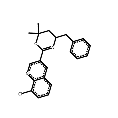 CC1(C)CC(Cc2ccccc2)N=C(c2cnc3c(Cl)cccc3c2)O1